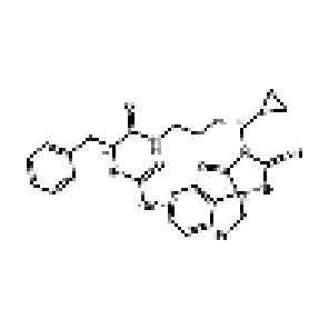 COC(=O)N[C@@H](Cc1ccccc1)C(=O)NCCC[C@H](C1CC1)N1C(=N)N[C@](CC(C)C)(c2ccccc2)C1=O